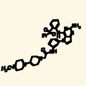 CC(C)S(=O)(=O)c1ccccc1Nc1nc(N)nc2ccn(-c3cccc(NC(=O)CN4CCC(N5CCN(C)CC5)CC4)c3)c12